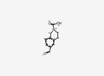 O=Cc1ccc2c(c1)CCN(C(=O)O)C2